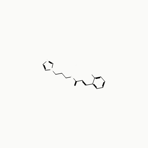 Cl.O=C(C=Cc1ccccc1F)NCCCn1ccnc1